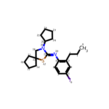 CCCc1cc(I)ccc1/N=C1\SC2(CCCC2)CN1C1CCCC1